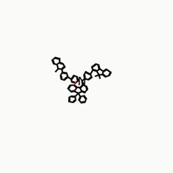 CC1C(c2cccc(-c3ccc(N(c4ccc(-c5cccc6c5C(C)(C)c5ccccc5-6)cc4)c4cccc5c4-c4ccccc4C5(c4ccccc4)c4ccccc4)cc3)c2)=CC=C2C=CC=CC21